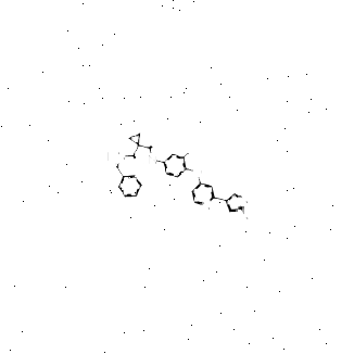 C[C@H](NC(=O)C1(C(=O)Nc2ccc(Oc3ccnc(-c4cnn(C)c4)c3)c(F)c2)CC1)c1ccccc1